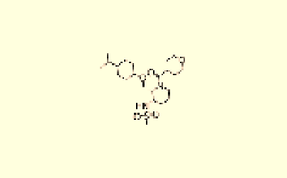 CC(C)C1CCC(OC[C@H]2[C@@H](NS(C)(=O)=O)CCCN2C(=O)C2CCOCC2)CC1